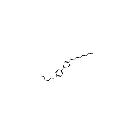 CCCCCCCCCc1cnc(-c2ccc(OCC[C@@H](C)CC)cc2)nc1